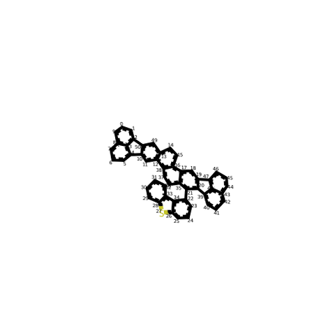 c1cc2c3c(cccc3c1)-c1cc3c(ccc4c5cc6c(c(-c7cccc8sc9ccccc9c78)c5ccc34)-c3cccc4cccc-6c34)cc1-2